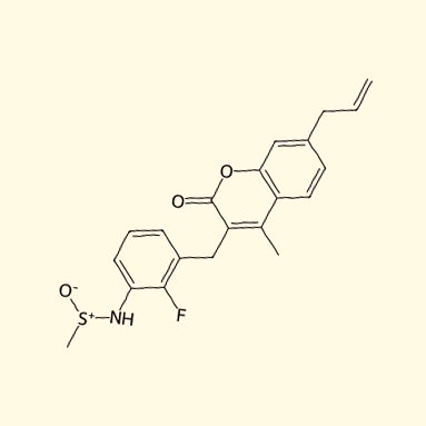 C=CCc1ccc2c(C)c(Cc3cccc(N[S+](C)[O-])c3F)c(=O)oc2c1